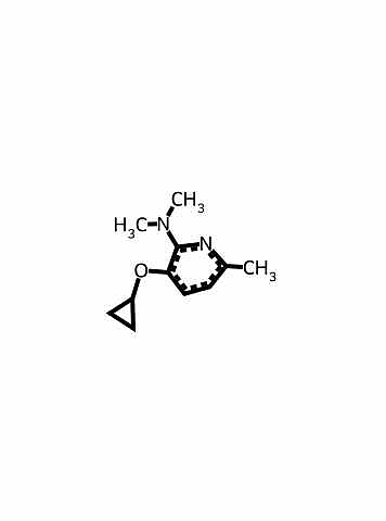 Cc1ccc(OC2CC2)c(N(C)C)n1